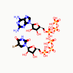 Nc1nc(N)c2ncn([C@@H]3O[C@H](COP(=O)(O)OP(=O)(O)OP(=O)(O)O)[C@@H](O)[C@H]3O)c2n1.O=c1[nH]c(=O)n([C@@H]2O[C@H](COP(=O)(O)OP(=O)(O)OP(=O)(O)O)[C@@H](O)[C@H]2O)cc1Br